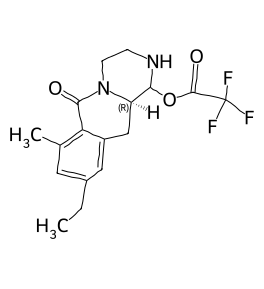 CCc1cc(C)c2c(c1)C[C@@H]1C(OC(=O)C(F)(F)F)NCCN1C2=O